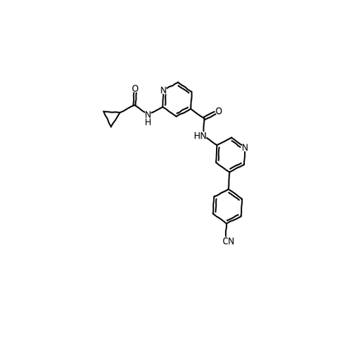 N#Cc1ccc(-c2cncc(NC(=O)c3ccnc(NC(=O)C4CC4)c3)c2)cc1